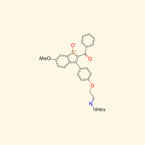 CCCCCCN=CCOc1ccc(-c2c(C(=O)c3ccccc3)[s+]([O-])c3cc(OC)ccc23)cc1